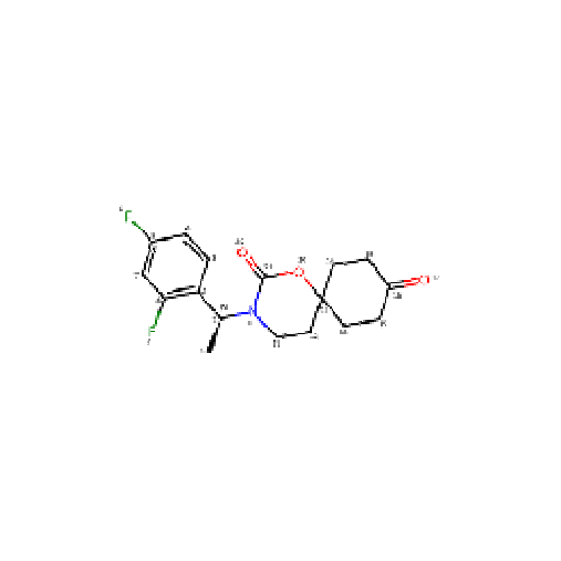 C[C@@H](c1ccc(F)cc1F)N1CCC2(CCC(=O)CC2)OC1=O